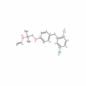 [2H]C([2H])(COc1ccc(Cc2cc(Br)ccc2Cl)cc1)OC=C